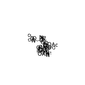 CCC1O[C@H](OCCCCCN(Cc2ccccc2)C(=O)OCc2ccccc2)C(N=[N+]=[N-])C(C)[C@@H]1O[C@@H]1O[C@@H](C(C)=O)[C@@H](O[C@H]2OC(CC)[C@@H](O[C@@H]3OC(C(=O)OC)[C@@H](C)[C@H](C)C3OC(C)=O)[C@H](C)C2N=[N+]=[N-])C(OCc2ccccc2)C1OC(C)=O